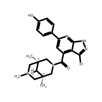 CCc1n[nH]c2nc(-c3ccc(O)cc3)cc(C(=O)N3C[C@]4(C)CN(C)C[C@](C)(C3)C4O)c12